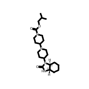 CC(C)COC(=O)N1CCC(N2CCC(N3C(=O)N[C@H]4CCCC[C@@H]43)CC2)CC1